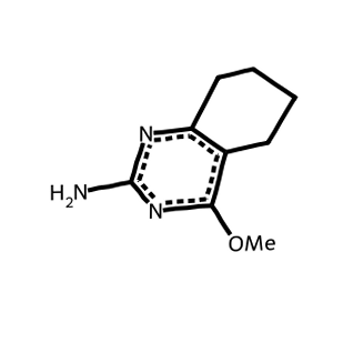 COc1nc(N)nc2c1CCCC2